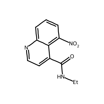 CCNC(=O)c1ccnc2cccc([N+](=O)[O-])c12